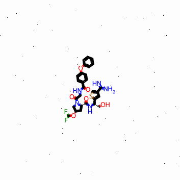 N=C(N)c1csc([C@H](CO)NC(=O)[C@@H]2C[C@@H](OC(F)F)CN2C(=O)CNC(=O)c2ccc(Oc3ccccc3)cc2)c1